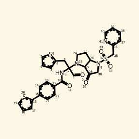 O=CC(Cc1cccs1)(NC(=O)c1ccc(-c2cccs2)cc1)N1CCC2C1C(=O)CN2S(=O)(=O)Cc1ccccn1